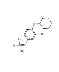 CS(C)(=O)=Nc1ccc(OC2CCCCC2)c(Br)c1